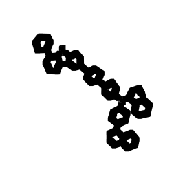 c1ccc(-c2cccc3c2sc2ccc(-c4ccc(-c5ccc(N(c6ccc(-c7cccc8ccccc78)cc6)c6cccc7ccccc67)cc5)cc4)cc23)cc1